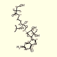 CC(C)NP(=O)(OCCSC(=O)C(C)(C)CO)OC[C@H]1OC(n2cnc3c(Cl)nc(N)nc32)[C@@](C)(O)C1O